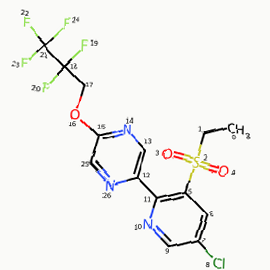 CCS(=O)(=O)c1cc(Cl)cnc1-c1cnc(OCC(F)(F)C(F)(F)F)cn1